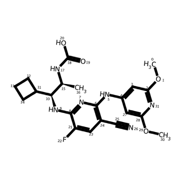 COc1cc(Nc2nc(N[C@@H](C3CCC3)[C@H](C)NC(=O)O)c(F)cc2C#N)cc(OC)n1